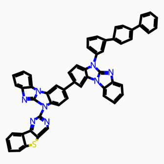 c1ccc(-c2ccc(-c3cccc(-n4c5ccc(-c6ccc7c(c6)n6c8ccccc8nc6n7-c6ncc7sc8ccccc8c7n6)cc5n5c6ccccc6nc45)c3)cc2)cc1